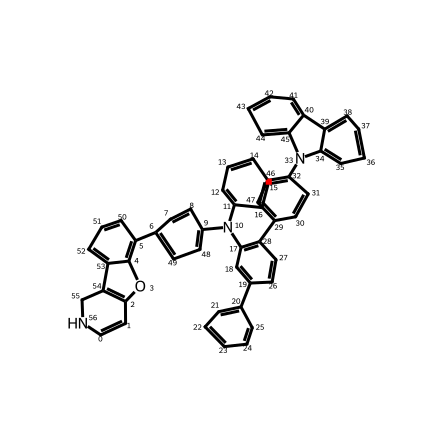 C1=Cc2oc3c(-c4ccc(N(c5ccccc5)c5cc(-c6ccccc6)ccc5-c5ccc(-n6c7ccccc7c7ccccc76)cc5)cc4)cccc3c2CN1